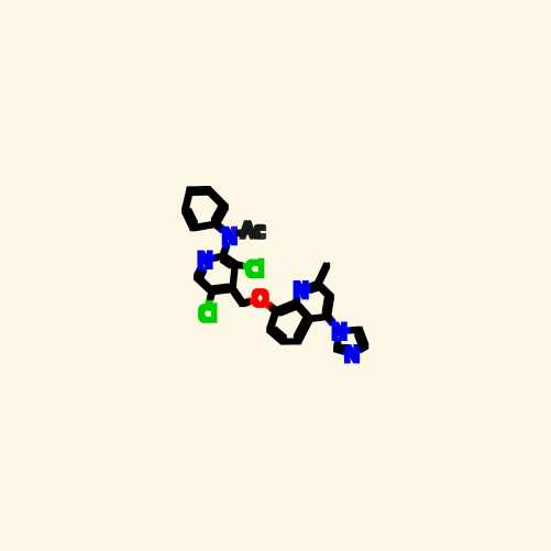 CC(=O)N(c1ccccc1)c1ncc(Cl)c(COc2cccc3c(-n4ccnc4)cc(C)nc23)c1Cl